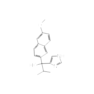 [CH2]Oc1ccc2cc(C(O)(c3c[nH]cn3)C(C)C)ccc2c1